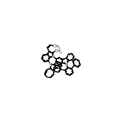 C/C=C\c1c(C)n(-c2ccc3c(c2)c2ccccc2n3-c2c(C3=CCCC=C3)cccc2-c2ccccc2)c2c(-n3c4c(c5ccccc53)C=CCC=C4)cccc12